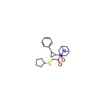 O=C(CSC1CCCC1)N1CC2CC(C1)N2C(=O)C1CC1c1ccccc1